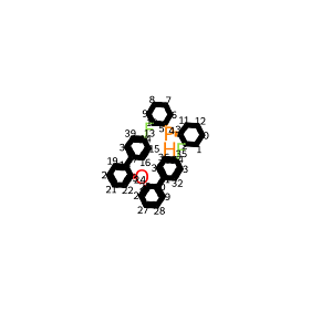 C1CCC(PC2CCCCC2)CC1.Fc1ccc(-c2ccccc2Oc2ccccc2-c2ccc(F)cc2)cc1